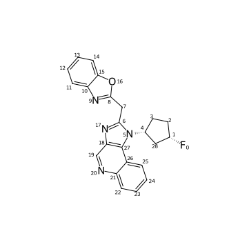 F[C@H]1CC[C@@H](n2c(Cc3nc4ccccc4o3)nc3cnc4ccccc4c32)C1